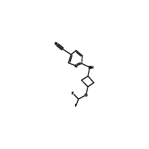 N#Cc1ccc(NC2CC(OC(F)F)C2)nc1